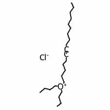 CCCCCCCCCCCCCCCC[O+](CCCC)CCCC.[Cl-]